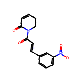 O=C1C=CCCN1C(=O)/C=C/c1cccc([N+](=O)[O-])c1